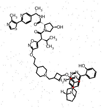 Cc1ncsc1-c1ccc([C@H](C)NC(=O)[C@@H]2C[C@@H](O)CN2C(=O)[C@H](c2cc(OCCC3CCN(CC4CC(Oc5cc(N6C7CC[C@@H]6CN(c6cc(-c8ccccc8O)nnc6N)C7)ccn5)C4)CC3)no2)C(C)C)cn1